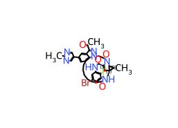 CC(=O)c1nn2c3c(cc(-c4cnc(C)nc4)cc13)CCCCCCC(=O)NC[C@@]13C[C@@H](C(=O)Nc4cc(Br)ccc4F)N(C(=O)C2)C1[C@@H]3C